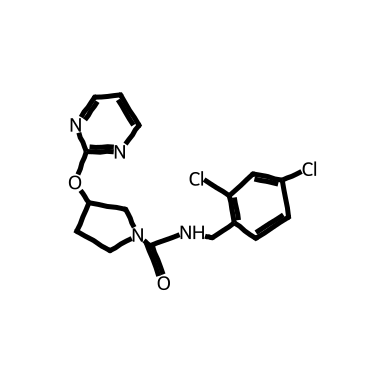 O=C(NCc1ccc(Cl)cc1Cl)N1CCC(Oc2ncccn2)C1